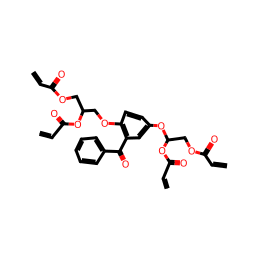 C=CC(=O)OCC(COc1ccc(OC(COC(=O)C=C)OC(=O)C=C)cc1C(=O)c1ccccc1)OC(=O)C=C